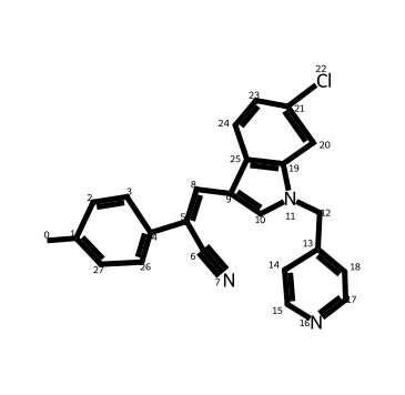 Cc1ccc(/C(C#N)=C/c2cn(Cc3ccncc3)c3cc(Cl)ccc23)cc1